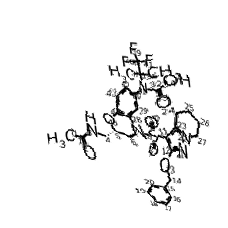 CC(=O)NC[C@H]1CN(S(=O)(=O)c2c(OCc3ccccc3)nn3c2CCCC3)c2cc(N(C(=O)O)C(C)(C)C(F)(F)F)ccc2O1